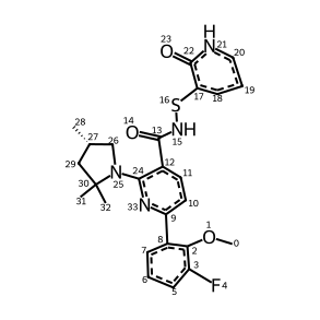 COc1c(F)cccc1-c1ccc(C(=O)NSc2ccc[nH]c2=O)c(N2C[C@@H](C)CC2(C)C)n1